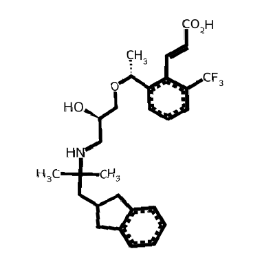 C[C@@H](OC[C@H](O)CNC(C)(C)CC1Cc2ccccc2C1)c1cccc(C(F)(F)F)c1/C=C/C(=O)O